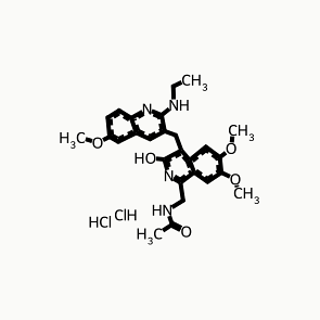 CCNc1nc2ccc(OC)cc2cc1Cc1c(O)nc(CNC(C)=O)c2cc(OC)c(OC)cc12.Cl.Cl